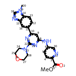 COC(=O)c1ccc(Nc2cc(-c3ccc4c(c3)ncn4C)nc(N3CCOCC3)n2)cn1